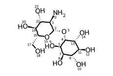 N[C@H]1[C@H](O[C@H]2[C@H](O)[C@H](O)[C@@H](O)[C@H](O)[C@H]2O)O[C@H](CO)[C@@H](O)[C@@H]1O